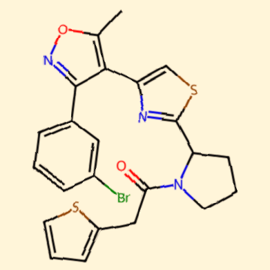 Cc1onc(-c2cccc(Br)c2)c1-c1csc(C2CCCN2C(=O)Cc2cccs2)n1